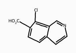 O=C(O)c1ccc2ccncc2c1Cl